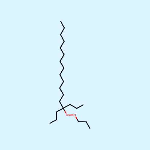 CCCCCCCCCCCCCC(CCC)(CCC)OOCCC